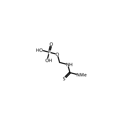 CNC(=S)NCOP(=O)(O)O